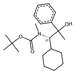 CN(C(=O)OC(C)(C)C)[C@@H](C1CCCCC1)C(C)(O)c1ccccc1